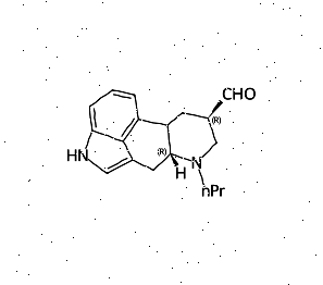 CCCN1C[C@H](C=O)CC2c3cccc4[nH]cc(c34)C[C@H]21